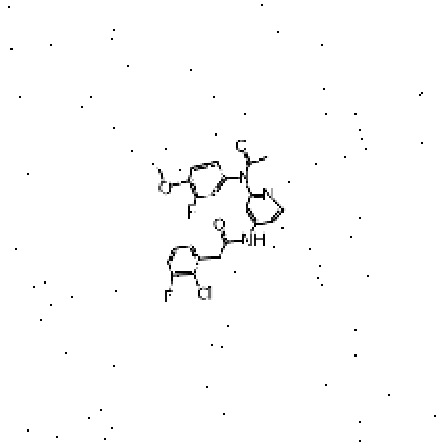 COc1ccc(N(C(C)=O)c2cc(NC(=O)Cc3cccc(F)c3Cl)ccn2)cc1F